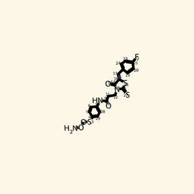 NOOSc1ccc(NC(=O)CCN2C(=O)/C(=C/c3ccc(F)cc3)SC2=S)cc1